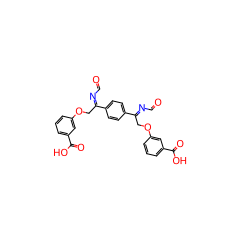 O=CN=C(COc1cccc(C(=O)O)c1)c1ccc(C(COc2cccc(C(=O)O)c2)=NC=O)cc1